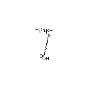 CCCC(O)C/C=C\CCCCCCCCCCCCC(=O)O